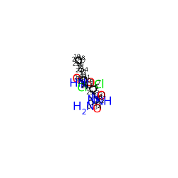 Nc1nn(-c2cc(Cl)c(Oc3cc(C4CC(c5ccccc5)C4)c(=O)[nH]n3)c(Cl)c2)c(=O)[nH]c1=O